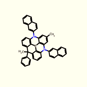 Cc1cc2c3c(c1)N(c1ccc4ccccc4c1)c1cccc4c1B3c1c(cccc1C4(C)c1ccccc1)N2c1ccc2ccccc2c1